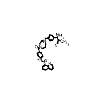 CC(C#N)C(N)c1ccc(CN2CCCN(C(=O)c3ccc(N[S+]([O-])c4cccc5cccnc45)cc3)CC2)cc1